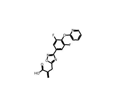 C=C(Cc1nc(-c2cc(F)c(Oc3ccccn3)c(F)c2)no1)C(=O)O